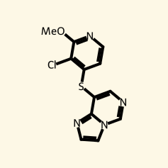 COc1nccc(Sc2cncn3ccnc23)c1Cl